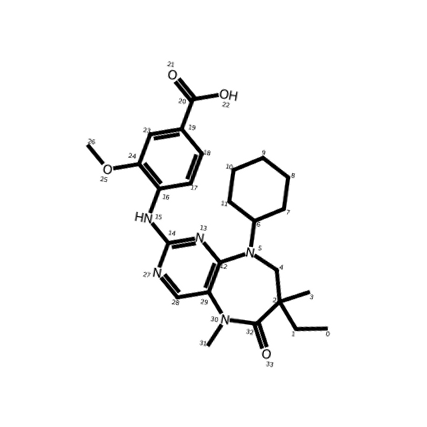 CCC1(C)CN(C2CCCCC2)c2nc(Nc3ccc(C(=O)O)cc3OC)ncc2N(C)C1=O